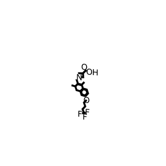 CC1=C(CN2CC(C(=O)O)C2)C(C)Cc2cc(OCCCC(F)(F)F)ccc21